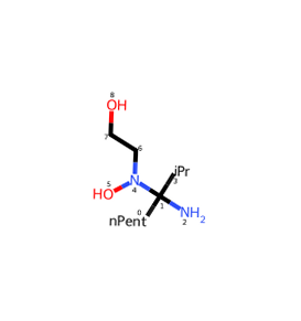 CCCCCC(N)(C(C)C)N(O)CCO